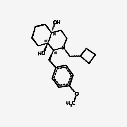 COc1ccc(C[C@@H]2N(CC3CCC3)CC[C@]3(O)CCCC[C@@]23O)cc1